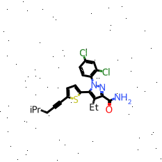 CCc1c(C(N)=O)nn(-c2ccc(Cl)cc2Cl)c1-c1ccc(C#CCC(C)C)s1